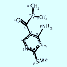 CSc1ncc(C(=O)N(C)C)c(N)n1